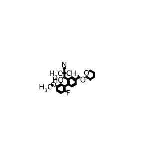 COc1ccc(F)c(-c2ccc(COC3CCCCO3)cc2C(O)C(C)(C)C#N)c1